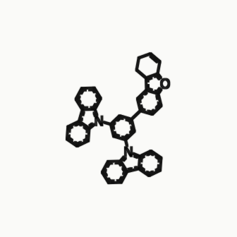 C1=Cc2oc3ccc(-c4cc(-n5c6ccccc6c6ccccc65)cc(-n5c6ccccc6c6ccccc65)c4)cc3c2CC1